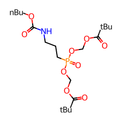 CCCCOC(=O)NCCCP(=O)(OCOC(=O)C(C)(C)C)OCOC(=O)C(C)(C)C